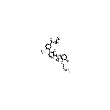 Cc1ccc(C(=O)NC2CC2)cc1-n1ccnc(NC2(c3cccc(F)c3OCCN)CC2)c1=O